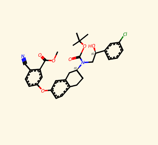 COC(=O)c1cc(Oc2ccc3c(c2)C[C@@H](N(C[C@@H](O)c2cccc(Cl)c2)C(=O)OC(C)(C)C)CC3)ccc1C#N